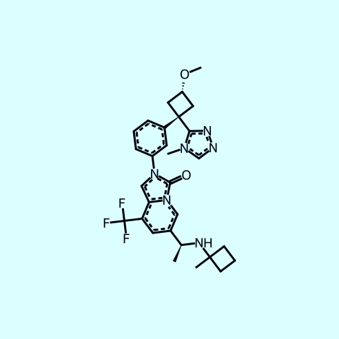 CO[C@H]1C[C@@](c2cccc(-n3cc4c(C(F)(F)F)cc([C@H](C)NC5(C)CCC5)cn4c3=O)c2)(c2nncn2C)C1